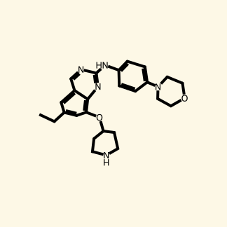 CCc1cc(OC2CCNCC2)c2nc(Nc3ccc(N4CCOCC4)cc3)ncc2c1